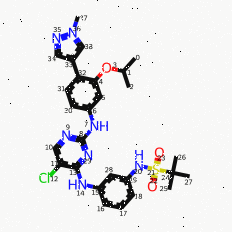 CC(C)Oc1cc(Nc2ncc(Cl)c(Nc3cccc(NS(=O)(=O)C(C)(C)C)c3)n2)ccc1-c1cnn(C)c1